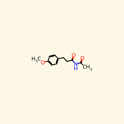 COc1ccc(CCC(=O)NC(C)=O)cc1